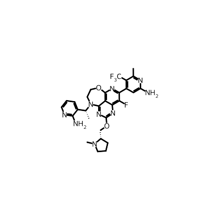 Cc1nc(N)cc(-c2nc3c4c(nc(OC[C@@H]5CCCN5C)nc4c2F)N([C@H](C)c2cccnc2N)CCO3)c1C(F)(F)F